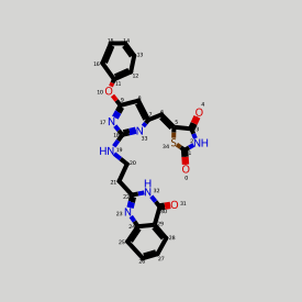 O=C1NC(=O)C(=Cc2cc(Oc3ccccc3)nc(NCCc3nc4ccccc4c(=O)[nH]3)n2)S1